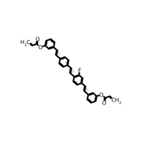 C=CC(=O)Oc1cccc(/C=C/c2ccc(/C=C/c3ccc(/C=C/c4cccc(OC(=O)C=C)c4)cc3F)cc2)c1